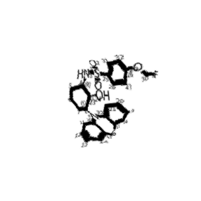 O=S(=O)(N[C@@H]1CCC[C@H](N2c3ccccc3Sc3ccccc32)[C@H]1O)c1ccc(OCF)cc1